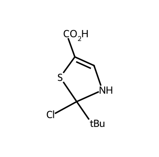 CC(C)(C)C1(Cl)NC=C(C(=O)O)S1